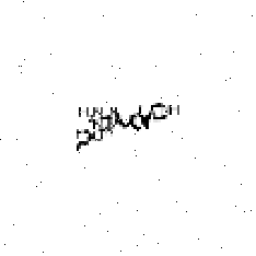 CCC[C@@H](CF)Oc1nc(N)c2ncc(Cc3cnc(N4CCNCC4)c(C)c3)n2n1